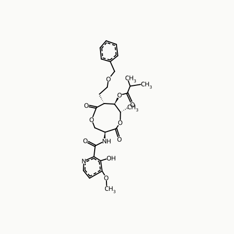 COc1ccnc(C(=O)N[C@H]2COC(=O)[C@H](CCOCc3ccccc3)[C@@H](OC(=O)C(C)C)[C@H](C)OC2=O)c1O